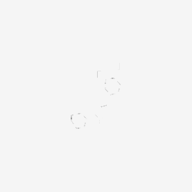 O=C(C=Cc1ccc(Cl)c(F)c1)c1ccccc1